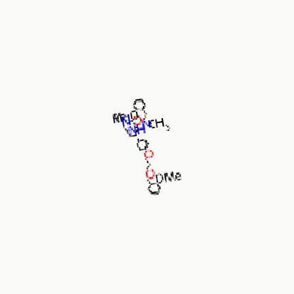 COc1ccccc1COCCCOc1ccc(C2=C(CN(C)C(=O)Cc3ccccc3OC)C3CN(C(C)=O)CC(C2)N3)cc1